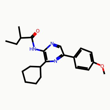 CCC(C)C(=O)Nc1ncc(-c2ccc(OC)cc2)nc1C1CCCCC1